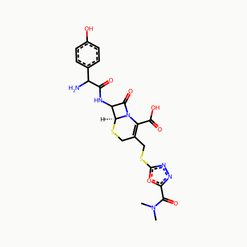 CN(C)C(=O)c1nnc(SCC2=C(C(=O)O)N3C(=O)C(NC(=O)C(N)c4ccc(O)cc4)[C@@H]3SC2)o1